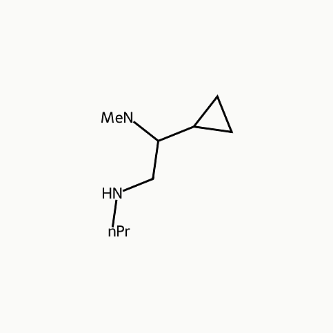 CCCNCC(NC)C1CC1